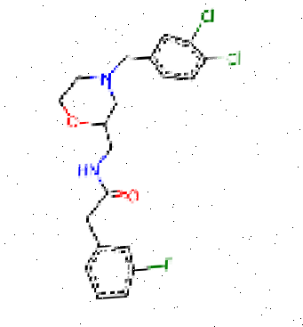 O=C(Cc1cccc(F)c1)NCC1CN(Cc2ccc(Cl)c(Cl)c2)CCO1